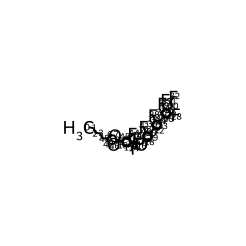 CCCCCC1COC(c2ccc(C(F)(F)Oc3ccc(-c4ccc(-c5cc(F)c(C=C(F)F)c(F)c5)c(F)c4)c(F)c3)c(F)c2)OC1